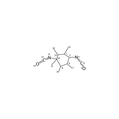 CC1C(N=C=O)C(C)C(C)C(C)(N=C=O)C1C